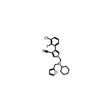 N#Cc1cn(CN(Cc2ccco2)C2CCCCC2)cc1-c1cccc(Cl)c1F